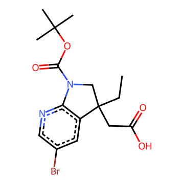 CCC1(CC(=O)O)CN(C(=O)OC(C)(C)C)c2ncc(Br)cc21